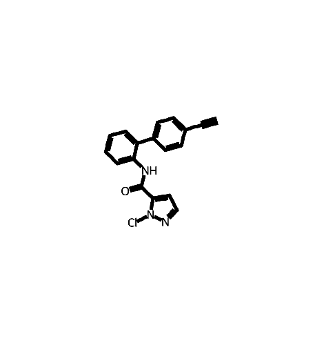 C#Cc1ccc(-c2ccccc2NC(=O)c2ccnn2Cl)cc1